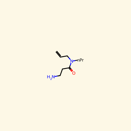 C=CCN(CCC)C(=O)CCN